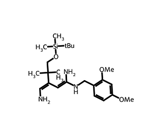 COc1ccc(CN/C(N)=C/C(=C\N)C(C)(C)CO[Si](C)(C)C(C)(C)C)c(OC)c1